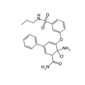 CCCNS(=O)(=O)c1cccc(OC2=CC(c3ccccc3)=CC(C(N)=O)C2(N)Cl)c1